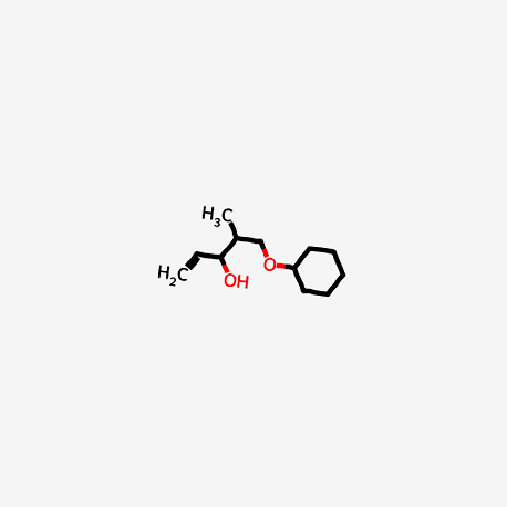 C=CC(O)C(C)COC1CCCCC1